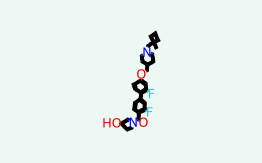 CC1(CN2CCC(COc3ccc(-c4ccc(C(=O)N5CC[C@H](O)C5)c(F)c4)c(F)c3)CC2)CCC1